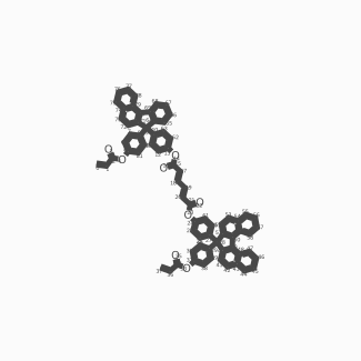 C=CC(=O)Oc1ccc(C2(c3ccc(OC(=O)/C=C/C=C/C(=O)Oc4ccc(C5(c6ccc(OC(=O)C=C)cc6)c6ccc7ccccc7c6-c6c5ccc5ccccc65)cc4)cc3)c3ccccc3-c3c2ccc2ccccc32)cc1